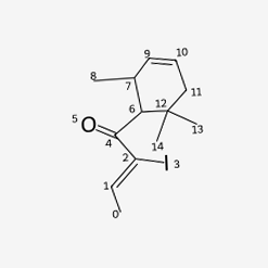 CC=C(I)C(=O)C1C(C)C=CCC1(C)C